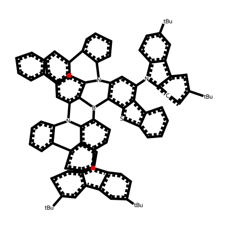 CC(C)(C)c1ccc2c(c1)c1cc(C(C)(C)C)ccc1n2-c1ccc2c(c1)N(c1ccccc1-c1ccccc1)c1cc(-c3ccccc3)cc3c1B2c1c(cc(-n2c4ccc(C(C)(C)C)cc4c4cc(C(C)(C)C)ccc42)c2c1sc1ccccc12)N3c1ccccc1-c1ccccc1